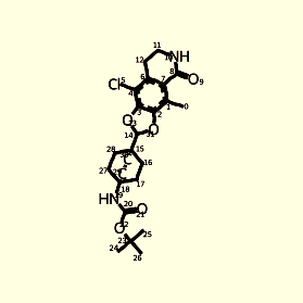 Cc1c2c(c(Cl)c3c1C(=O)NCC3)OC(C13CCC(NC(=O)OC(C)(C)C)(CC1)CC3)O2